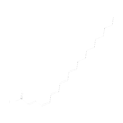 CCCCCCCCC/C=C/C=C/C=C/C=C\C=C\C(=O)O